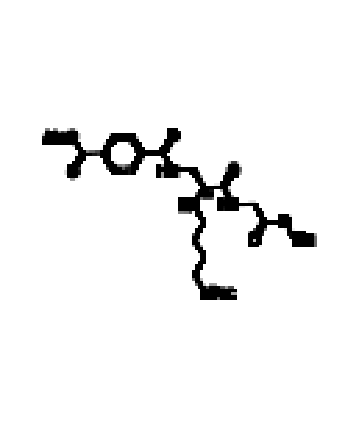 CCCCCCCCCCCCCCN[C@@H](CNC(=O)c1ccc(C(=O)OC)cc1)C(=O)NCC(=O)OC(C)(C)C